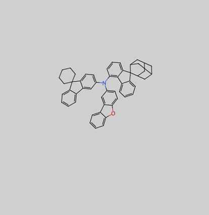 c1ccc2c(c1)-c1cc(N(c3ccc4oc5ccccc5c4c3)c3cccc4c3-c3ccccc3C43C4CC5CC(C4)CC3C5)ccc1C21CCCCC1